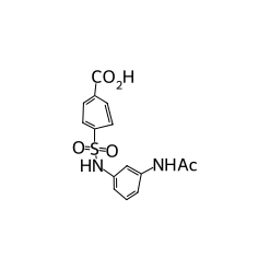 CC(=O)Nc1cccc(NS(=O)(=O)c2ccc(C(=O)O)cc2)c1